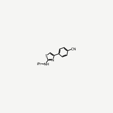 CC(C)Nc1nc(-c2ccc(C#N)cc2)cs1